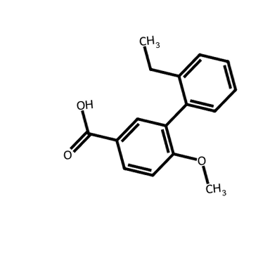 CCc1ccccc1-c1cc(C(=O)O)ccc1OC